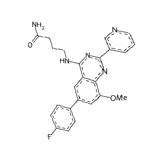 COc1cc(-c2ccc(F)cc2)cc2c(NCCCC(N)=O)nc(-c3cccnc3)nc12